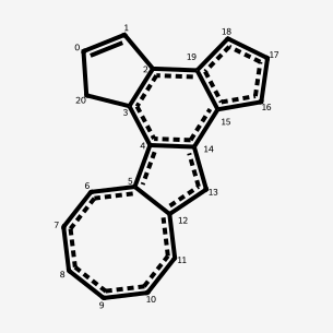 C1=Cc2c(c3c4ccccccc-4cc3c3cccc23)C1